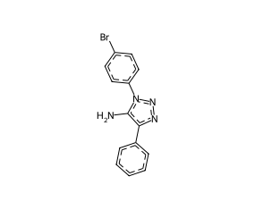 Nc1c(-c2ccccc2)nnn1-c1ccc(Br)cc1